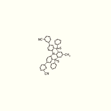 Cc1cc2c3c(c1)P(=S)(c1ccccc1)c1cc(-c4cccc(C#N)c4)ccc1N3c1ccc(-c3cccc(C#N)c3)cc1P2(=S)c1ccccc1